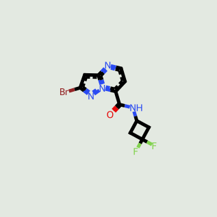 O=C(NC1CC(F)(F)C1)c1ccnc2cc(Br)nn12